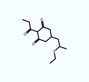 CCSC(C)CC1CC(=O)C(C(=O)CC)C(=O)C1